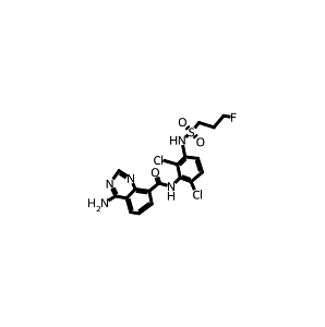 Nc1ncnc2c(C(=O)Nc3c(Cl)ccc(NS(=O)(=O)CCCF)c3Cl)cccc12